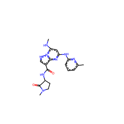 CNc1cc(Nc2cccc(C)n2)nc2c(C(=O)NC3CCN(C)C3=O)cnn12